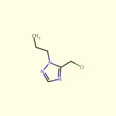 CCCn1ncnc1CCl